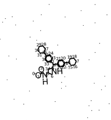 COC(=O)NC1CNC(C(c2ccc(C3CCCCC3)cc2)c2ccc(C3CCCCC3)cc2)C1